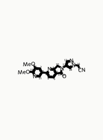 COc1cc(-c2ccc3c(n2)CN(c2cnn(CC#N)c2)C3=O)cnc1OC